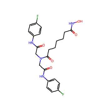 O=C(CCCCCC(=O)N(CC(=O)Nc1ccc(F)cc1)CC(=O)Nc1ccc(F)cc1)NO